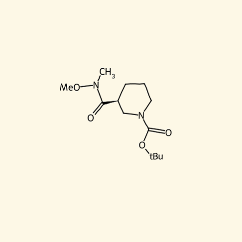 CON(C)C(=O)[C@H]1CCCN(C(=O)OC(C)(C)C)C1